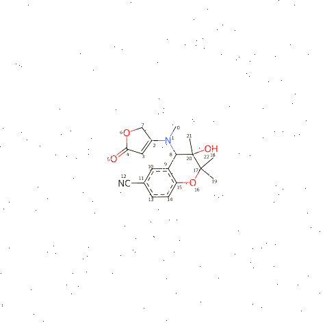 CN(C1=CC(=O)OC1)C1c2cc(C#N)ccc2OC(C)(C)C1(C)O